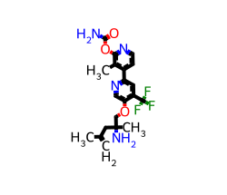 C=C(C)CC(C)(N)COc1cnc(-c2ccnc(OC(N)=O)c2C)cc1C(F)(F)F